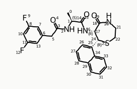 C[C@H](NC(=O)Cc1cc(F)cc(F)c1)C(=O)N[C@@H]1C(=O)NCCS[C@@H]1c1cccc2ccccc12